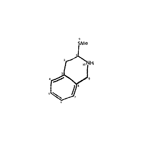 CSC1Cc2ccccc2CN1